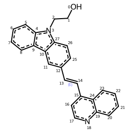 OCCn1c2ccccc2c2cc(/C=C/c3ccnc4ccccc34)ccc21